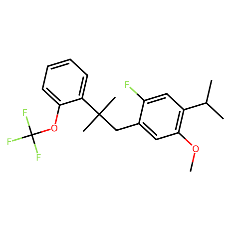 COc1cc(CC(C)(C)c2ccccc2OC(F)(F)F)c(F)cc1C(C)C